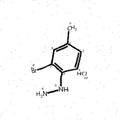 Cc1ccc(NN)c(Br)c1.Cl